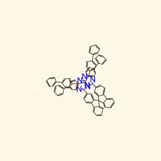 c1ccc(-c2ccc(-c3nc(-c4ccc(-c5ccccc5)cc4)nc(-c4ccc5c(c4)C4(c6ccccc6-5)c5ccccc5-c5ccc(-c6nc(-c7ccc(-c8ccccc8)cc7)nc(-c7ccc(-c8ccccc8)cc7)n6)cc54)n3)cc2)cc1